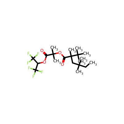 CCC(C)(C)CC(C)(C(=O)OC(C)(C)C(=O)OC(C(F)(F)F)C(F)(F)F)C(C)(C)C